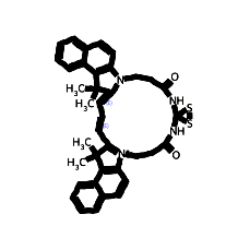 CC1(C)C2=[N+](CCC(=O)NC3(NC(=O)CCN4/C(=C/C=C/2)C(C)(C)c2c4ccc4ccccc24)SS3)c2ccc3ccccc3c21